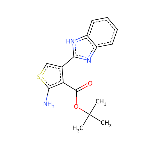 CC(C)(C)OC(=O)c1c(-c2nc3ccccc3[nH]2)csc1N